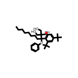 CCCCCCCCC(Oc1ccccc1)(c1c(C)cc(C(C)(C)C)cc1C(C)(C)C)C(CO)(CO)CO